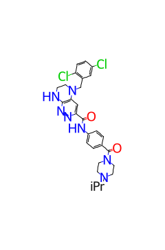 CC(C)N1CCN(C(=O)c2ccc(NC(=O)c3cc4c(nn3)NCCN4Cc3cc(Cl)ccc3Cl)cc2)CC1